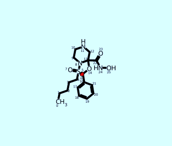 CCCCCS(=O)(=O)N1CCNCC1(OCc1ccccc1)C(=O)NO